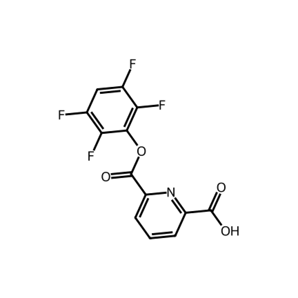 O=C(O)c1cccc(C(=O)Oc2c(F)c(F)cc(F)c2F)n1